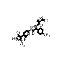 CCc1nocc1C(=O)NC(C(=O)Nc1ccc(-c2c(C)n[nH]c2CC)c(F)n1)C1CCC(C)CC1